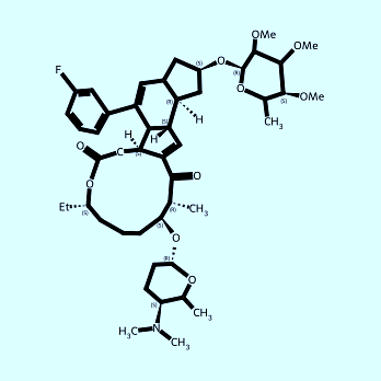 CC[C@H]1CCC[C@H](O[C@H]2CC[C@H](N(C)C)C(C)O2)[C@@H](C)C(=O)C2=C[C@@H]3C(C(c4cccc(F)c4)=CC4C[C@@H](O[C@@H]5OC(C)[C@H](OC)C(OC)C5OC)C[C@H]43)[C@@H]2CC(=O)O1